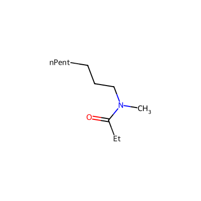 CCCCCCCCN(C)C(=O)CC